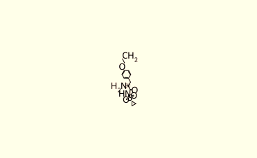 C=CCOc1ccc(C[C@H](N)C(=O)NS(=O)(=O)C2CC2)cc1